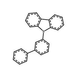 c1ccc(-c2cccc(B3c4ccccc4-c4ccccc43)c2)cc1